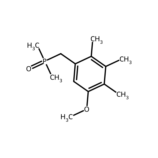 COc1cc(CP(C)(C)=O)c(C)c(C)c1C